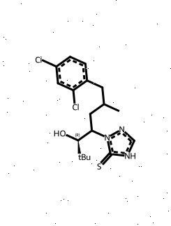 CC(Cc1ccc(Cl)cc1Cl)CC([C@H](O)C(C)(C)C)n1nc[nH]c1=S